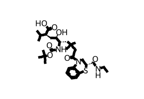 CCNC(=O)[C@H]1CN(C(=O)CC(C)(C)C[C@H](NC(=O)OC(C)(C)C)[C@@H](O)C[C@H](C(=O)O)C(C)C)c2ccccc2S1